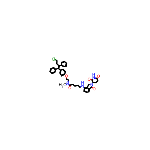 CN(CCOc1ccc(/C(=C(/CCCl)c2ccccc2)c2ccccc2)cc1)C(=O)CCCCNc1cccc2c1CN(C1CCC(=O)NC1=O)C2=O